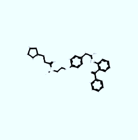 CC(C)(C)N(CCOc1ccc(C[C@H](Nc2ccccc2C(=O)c2ccccc2)C(=O)O)cc1)C(=O)CCC1CCCC1